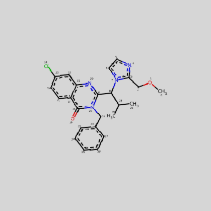 COCc1nccn1C(c1nc2cc(Cl)ccc2c(=O)n1Cc1ccccc1)C(C)C